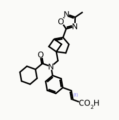 Cc1noc(C2=C3CC(CN(C(=O)C4CCCCC4)c4cccc(/C=C/C(=O)O)c4)(CC2)C3)n1